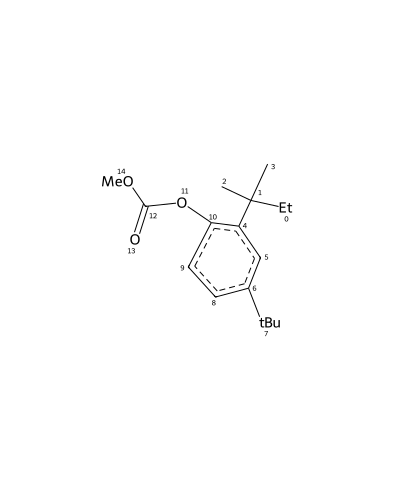 CCC(C)(C)c1cc(C(C)(C)C)ccc1OC(=O)OC